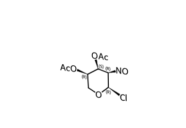 CC(=O)O[C@H]1[C@@H](N=O)[C@@H](Cl)OC[C@H]1OC(C)=O